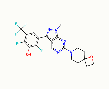 Cn1nc(-c2cc(C(F)(F)F)c(F)c(O)c2F)c2cnc(N3CCC4(CCO4)CC3)nc21